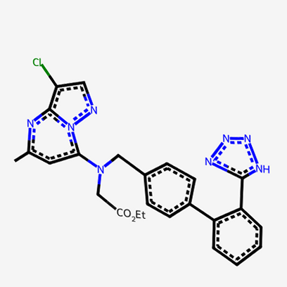 CCOC(=O)CN(Cc1ccc(-c2ccccc2-c2nnn[nH]2)cc1)c1cc(C)nc2c(Cl)cnn12